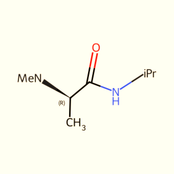 CN[C@H](C)C(=O)NC(C)C